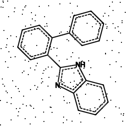 c1ccc(-c2ccccc2-c2nc3ccccc3[nH]2)cc1